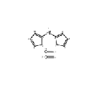 C1=CC[C]([Hf][C]2=CC=CC2)=C1.[C]=O.[C]=O